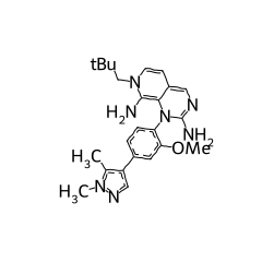 COc1cc(-c2cnn(C)c2C)ccc1N1C(N)=NC=C2C=CN(CC(C)(C)C)C(N)=C21